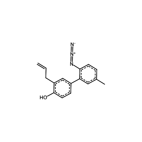 C=CCc1cc(-c2cc(C)ccc2N=[N+]=[N-])ccc1O